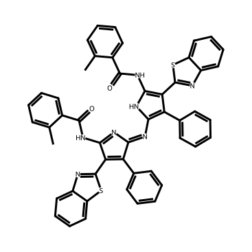 Cc1ccccc1C(=O)NC1=N/C(=N\c2[nH]c(NC(=O)c3ccccc3C)c(-c3nc4ccccc4s3)c2-c2ccccc2)C(c2ccccc2)=C1c1nc2ccccc2s1